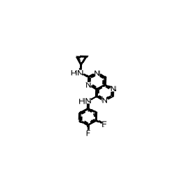 Fc1ccc(Nc2ncnc3cnc(NC4CC4)nc23)cc1F